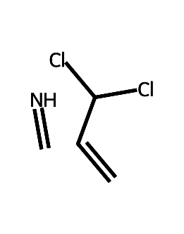 C=CC(Cl)Cl.C=N